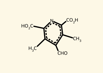 Cc1c(C(=O)O)nc(C(=O)O)c(C)c1C=O